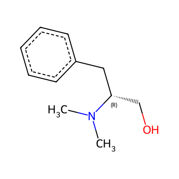 CN(C)[C@@H](CO)Cc1ccccc1